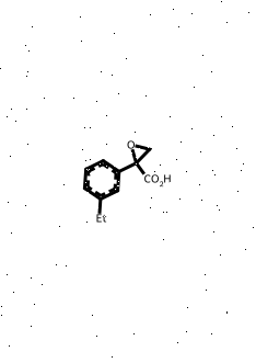 CCc1cccc(C2(C(=O)O)CO2)c1